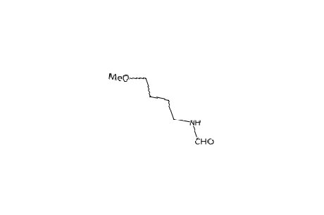 COCCCCNC=O